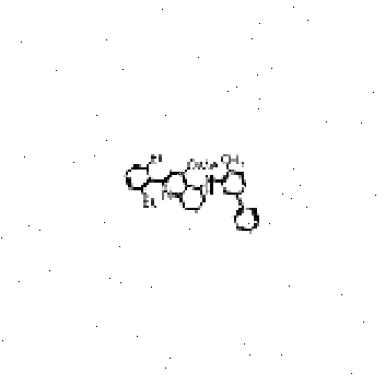 CCc1cccc(CC)c1-c1cc(OC)c2c(n1)CCCC2Nc1cc(-c2ccccc2)ccc1C